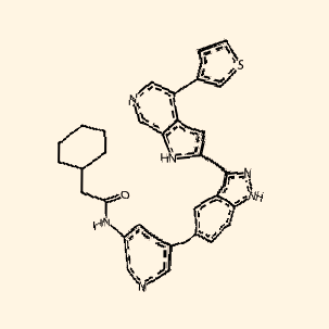 O=C(CC1CCCCC1)Nc1cncc(-c2ccc3[nH]nc(-c4cc5c(-c6ccsc6)cncc5[nH]4)c3c2)c1